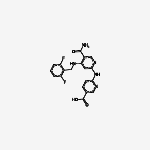 NC(=O)c1cnc(Nc2ccc(C(=O)O)cn2)cc1NCc1c(F)cccc1F